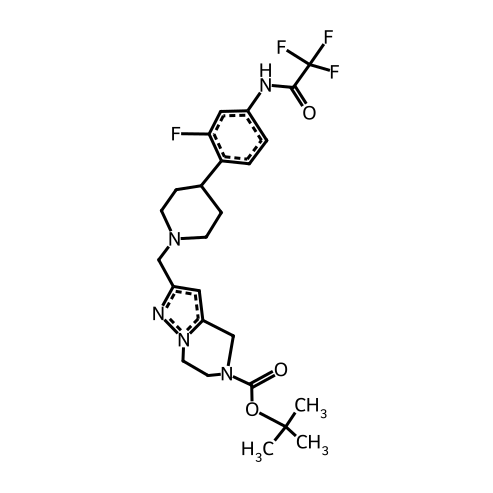 CC(C)(C)OC(=O)N1CCn2nc(CN3CCC(c4ccc(NC(=O)C(F)(F)F)cc4F)CC3)cc2C1